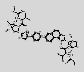 COC(=O)N[C@H](C(=O)N1[C@@H]2CC[C@@H](C2)[C@H]1c1nc2ccc3cc(-c4ccc(-c5cnc([C@@H]6C[C@H]7[C@@H](C)[C@H]7N6C(=O)[C@@H](NC(=O)OC)C(C)C)[nH]5)cc4)ccc3c2[nH]1)C(C)C